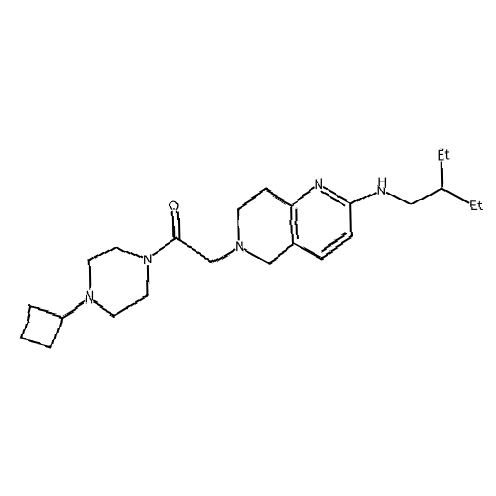 CCC(CC)CNc1ccc2c(n1)CCN(CC(=O)N1CCN(C3CCC3)CC1)C2